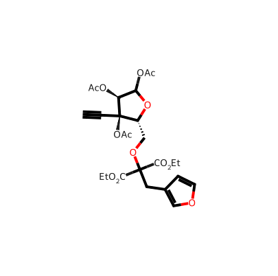 C#C[C@@]1(OC(C)=O)[C@@H](COC(Cc2ccoc2)(C(=O)OCC)C(=O)OCC)OC(OC(C)=O)[C@@H]1OC(C)=O